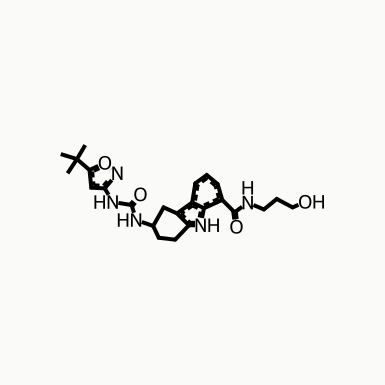 CC(C)(C)c1cc(NC(=O)NC2CCc3[nH]c4c(C(=O)NCCCO)cccc4c3C2)no1